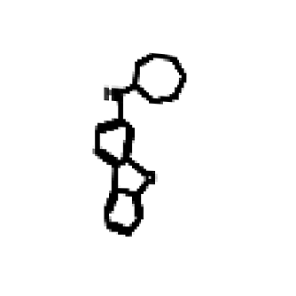 c1ccc2c(c1)oc1cc(NC3CCCCCC3)ccc12